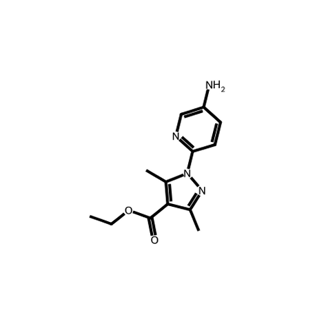 CCOC(=O)c1c(C)nn(-c2ccc(N)cn2)c1C